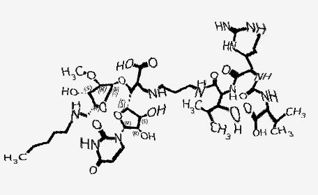 CCCCCNC[C@H]1O[C@H](OC(C(NCCCNC(=O)C(NC(=O)C(NC(=O)NC(C(=O)O)C(C)C)C2CCNC(=N)N2)C(O)C(C)C)C(=O)O)[C@H]2O[C@@H](n3ccc(=O)[nH]c3=O)[C@H](O)[C@@H]2O)[C@H](OC)[C@H]1O